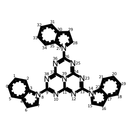 c1ccc2c(c1)ccn2C1=NC2=NC(n3ccc4ccccc43)=NC3=NC(n4ccc5ccccc54)=NC(=N1)N23